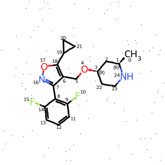 C[C@@H]1C[C@H](OCc2c(-c3c(F)cccc3F)noc2C2CC2)CCN1